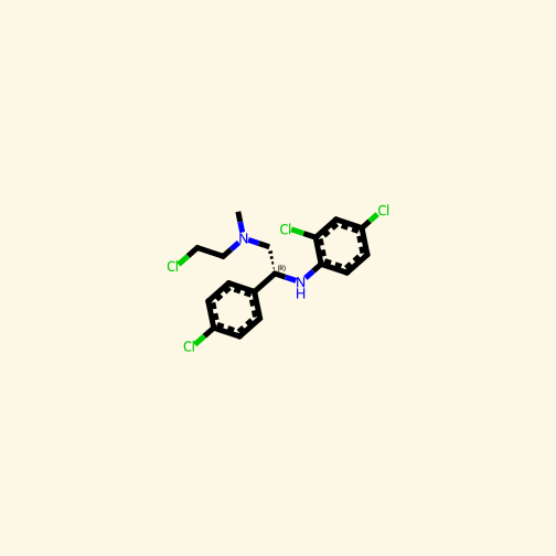 CN(CCCl)C[C@H](Nc1ccc(Cl)cc1Cl)c1ccc(Cl)cc1